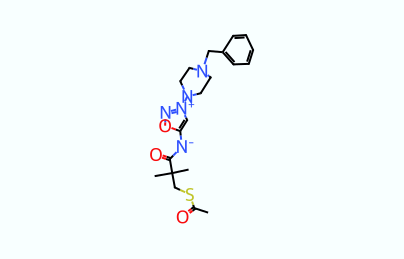 CC(=O)SCC(C)(C)C(=O)[N-]c1c[n+](N2CCN(Cc3ccccc3)CC2)no1